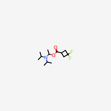 CC(C)N(C(C)C)C(C)OC(=O)C1CC(F)(F)C1